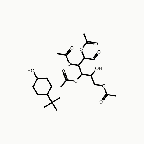 CC(=O)OCC(O)C(OC(C)=O)C(OC(C)=O)C(C=O)OC(C)=O.CC(C)(C)C1CCC(O)CC1